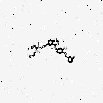 [C-]#[N+]/N=C(/NCC#Cc1ccc2ncnc(Nc3ccc(OCc4cccc(F)c4)c(Cl)c3)c2c1)NCCO